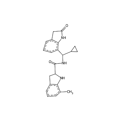 Cc1cccc2c1NC(C(=O)NC(c1cccc3c1NC(=O)C3)C1CC1)C2